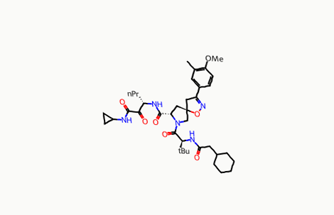 CCC[C@H](NC(=O)[C@@H]1C[C@]2(CC(c3ccc(OC)c(C)c3)=NO2)CN1C(=O)[C@@H](NC(=O)CC1CCCCC1)C(C)(C)C)C(=O)C(=O)NC1CC1